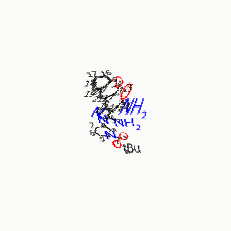 CC(C)(C)OC(=O)N1CCC[C@@H](n2nc(C3COc4ccccc4C3)c(C(N)=O)c2N)C1